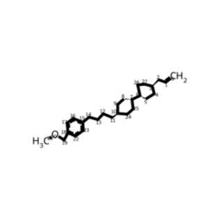 C=CC[C@H]1CC[C@H]([C@H]2CC[C@H](CCCCc3ccc(COC)cc3)CC2)CC1